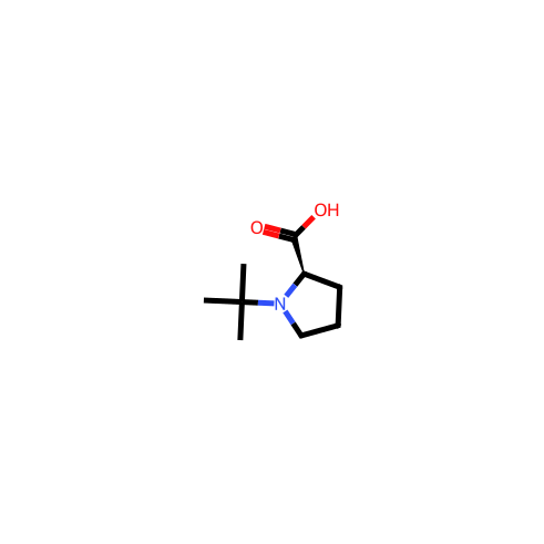 CC(C)(C)N1CCC[C@@H]1C(=O)O